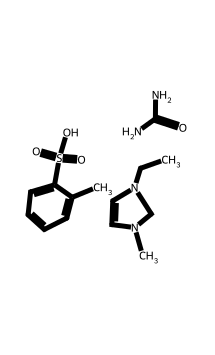 CCN1C=CN(C)C1.Cc1ccccc1S(=O)(=O)O.NC(N)=O